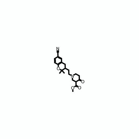 COC(=O)C1CN(CCC2Cc3cc(C#N)ccc3OC2(C)C)CCC1=O